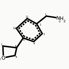 NCc1ccc(C2COC2)cc1